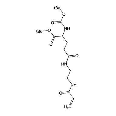 C=CC(=O)NCCNC(=O)CCC(NC(=O)OC(C)(C)C)C(=O)OC(C)(C)C